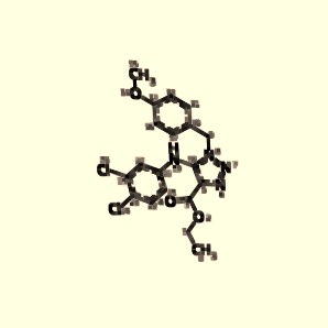 CCOC(=O)c1nnn(Cc2ccc(OC)cc2)c1Nc1ccc(Cl)c(Cl)c1